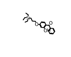 CC[Si](CC)(CC)CCCOc1ccc(C(=O)c2ccccc2)c(O)c1